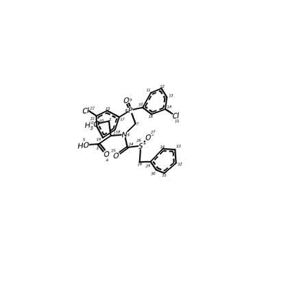 CCC(C(=O)O)N(CP(=O)(c1cccc(Cl)c1)c1cccc(Cl)c1)C(=O)[S+]([O-])Cc1ccccc1